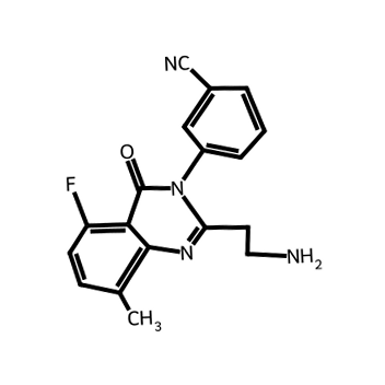 Cc1ccc(F)c2c(=O)n(-c3cccc(C#N)c3)c(CCN)nc12